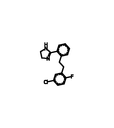 Fc1ccc(Cl)cc1CCc1ccccc1C1=NCCN1